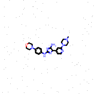 CN1CCN(c2cc(C3N=C(Nc4ccc(N5CCOCC5)cc4)N=C3N)ccn2)CC1